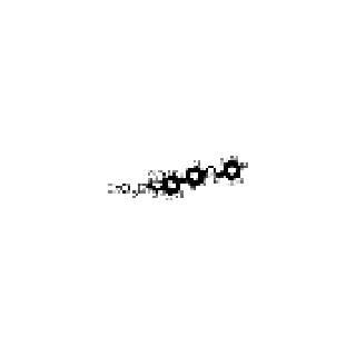 CCOC(=O)C(Cc1ccc(-c2ccc(OCc3ccccc3)cc2)cc1)C(=O)OCC